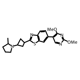 COc1ncc(-c2ccc3nc(C4CC(N5CCCC5C)C4)sc3c2)c(OC)n1